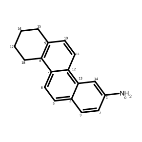 Nc1ccc2ccc3c4c(ccc3c2c1)CCCC4